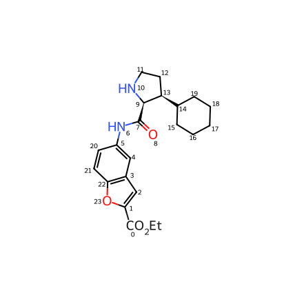 CCOC(=O)c1cc2cc(NC(=O)[C@H]3NCC[C@H]3C3CCCCC3)ccc2o1